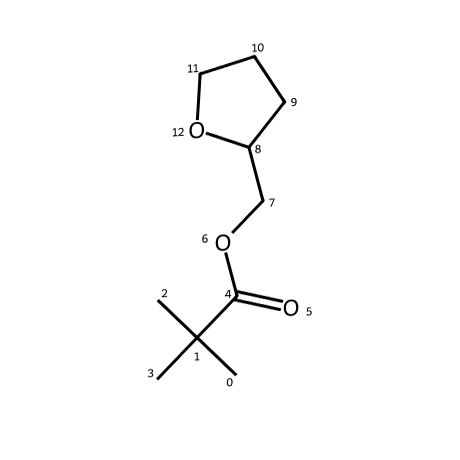 CC(C)(C)C(=O)OCC1CCCO1